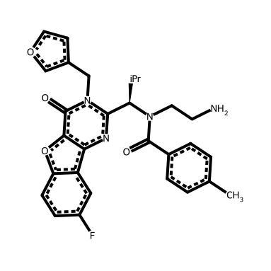 Cc1ccc(C(=O)N(CCN)[C@@H](c2nc3c(oc4ccc(F)cc43)c(=O)n2Cc2ccoc2)C(C)C)cc1